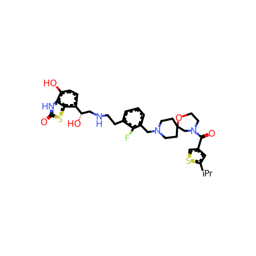 CC(C)c1cc(C(=O)N2CCOC3(CCN(Cc4cccc(CCNC[C@H](O)c5ccc(O)c6[nH]c(=O)sc56)c4F)CC3)C2)cs1